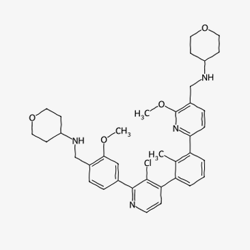 COc1cc(-c2nccc(-c3cccc(-c4ccc(CNC5CCOCC5)c(OC)n4)c3C)c2Cl)ccc1CNC1CCOCC1